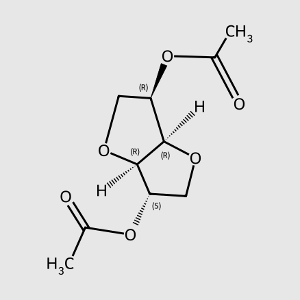 CC(=O)O[C@H]1CO[C@H]2[C@@H]1OC[C@H]2OC(C)=O